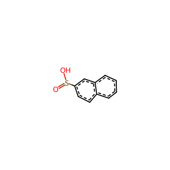 O=S(O)c1ccc2ccccc2c1